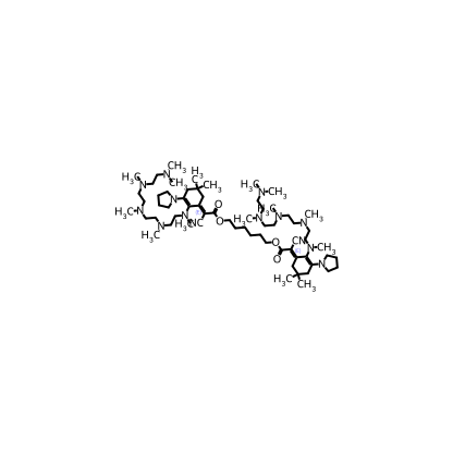 CN(C)CCN(C)CCN(C)CCN(C)CCN(C)C1=C(N2CCCC2)CC(C)(C)C/C1=C(/C#N)C(=O)OCCCCCCOC(=O)/C(C#N)=C1\CC(C)(C)CC(N2CCCC2)=C1N(C)CCN(C)CCN(C)CCN(C)CCN(C)C